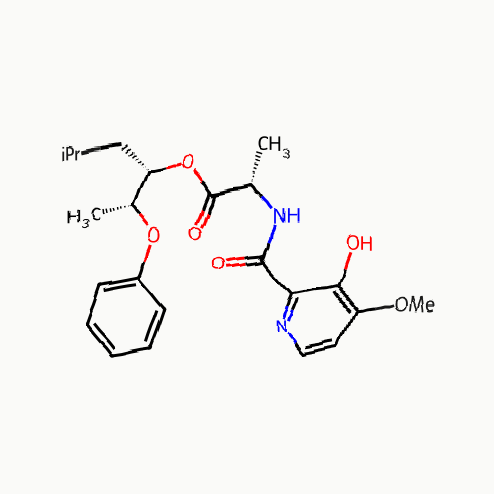 COc1ccnc(C(=O)N[C@@H](C)C(=O)O[C@@H](CC(C)C)[C@@H](C)Oc2ccccc2)c1O